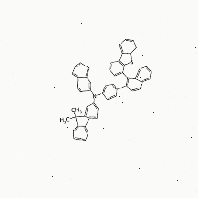 CC1(C)c2ccccc2-c2ccc(N(c3ccc(-c4ccc5ccccc5c4-c4cccc5c4SC4CC=CC=C54)cc3)c3ccc4ccccc4c3)cc21